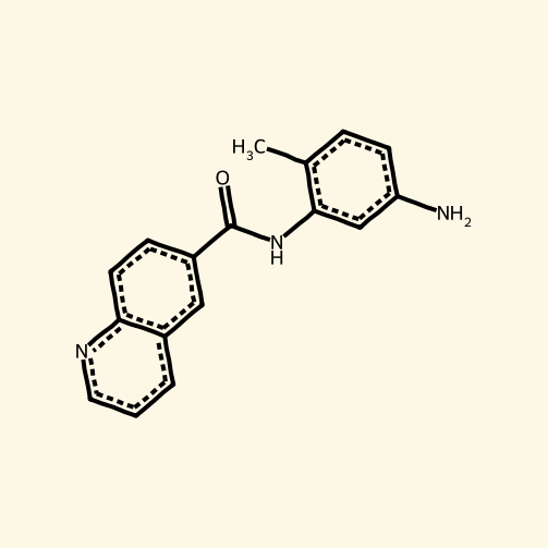 Cc1ccc(N)cc1NC(=O)c1ccc2ncccc2c1